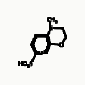 CN1CCOc2cc(S(=O)(=O)O)ccc21